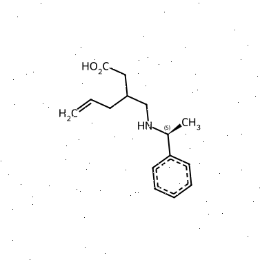 C=CCC(CN[C@@H](C)c1ccccc1)CC(=O)O